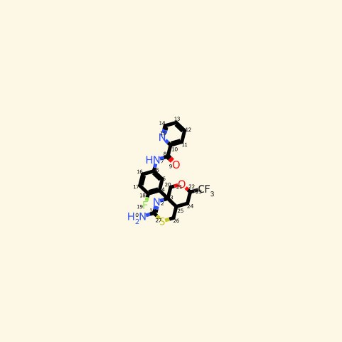 NC1=NC2(c3cc(NC(=O)c4ccccn4)ccc3F)COC(C(F)(F)F)CC2CS1